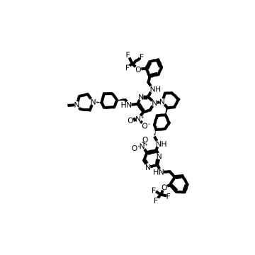 CN1CCN([C@H]2CC[C@H](CNC3=C([N+](=O)[O-])CN(N4CCCCC4[C@H]4CC[C@H](CNc5nc(NCc6ccccc6OC(F)(F)F)ncc5[N+](=O)[O-])CC4)C(NCc4ccccc4OC(F)(F)F)=N3)CC2)CC1